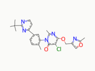 Cc1nc(COc2nc(C)n(-c3cc(-c4ccnc(C(C)(C)C)n4)ccc3C)c(=O)c2Cl)co1